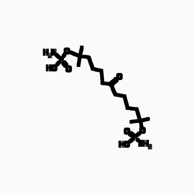 CC(C)(CCCCC(=O)CCCCC(C)(C)OP(N)(=O)O)OP(N)(=O)O